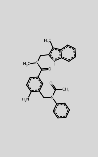 CC(=O)N(Cc1cc(C(=O)N(C)Cc2[nH]c3ccccc3c2C)ccc1N)c1ccccc1